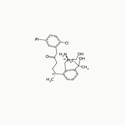 CC(C)c1ccc(Cl)c(CC(=O)CC[C@@H](C)c2cccc(C(C)(C)O)c2C[C@@H](N)CO)c1